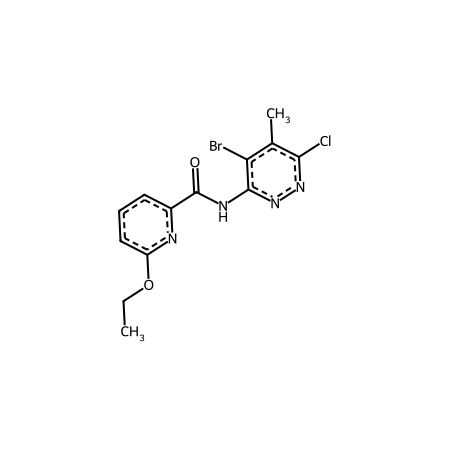 CCOc1cccc(C(=O)Nc2nnc(Cl)c(C)c2Br)n1